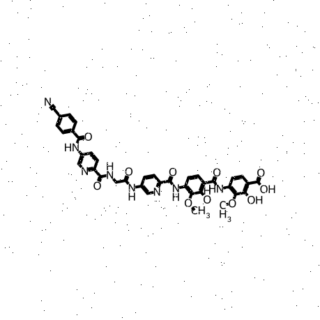 COc1c(NC(=O)c2ccc(NC(=O)c3ccc(NC(=O)CNC(=O)c4ccc(NC(=O)c5ccc(C#N)cc5)cn4)cn3)c(OC)c2O)ccc(C(=O)O)c1O